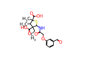 CCC1(C(=O)O)C(NC(=O)COc2cccc(C=O)c2)SC(C)(C(=O)O)C1C